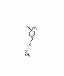 COCCOCCN1CCC(N)(C#N)CC1